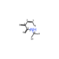 C=C(/C=C\C)C(=C)NC(C)C